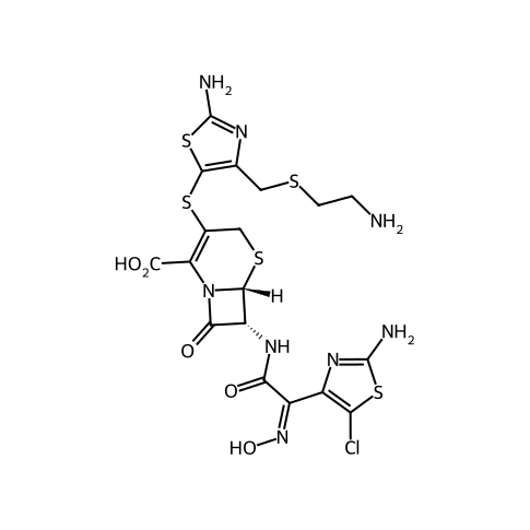 NCCSCc1nc(N)sc1SC1=C(C(=O)O)N2C(=O)[C@@H](NC(=O)/C(=N\O)c3nc(N)sc3Cl)[C@H]2SC1